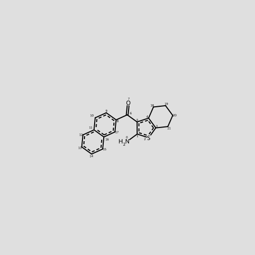 Nc1sc2c(c1C(=O)c1ccc3ccccc3c1)CCCC2